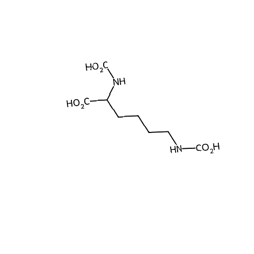 O=C(O)NCCCCC(NC(=O)O)C(=O)O